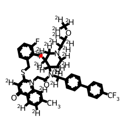 [2H]c1c(C)c([2H])c2c(c1[2H])c(=O)c([2H])c(SCc1cccc(F)c1F)n2CC(=O)N(C([2H])([2H])c1ccc(-c2ccc(C(F)(F)F)cc2)cc1)C1([2H])C([2H])([2H])C([2H])([2H])N(C([2H])([2H])C([2H])([2H])OC([2H])([2H])[2H])C([2H])([2H])C1([2H])[2H]